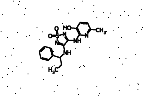 CCC(NC1=NS(=O)(=O)N=C1Nc1nc(C)ccc1O)c1ccccc1